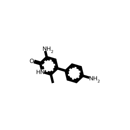 Cc1[nH]c(=O)c(N)cc1-c1ccc(N)cc1